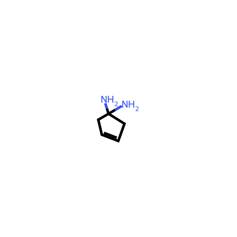 NC1(N)CC=CC1